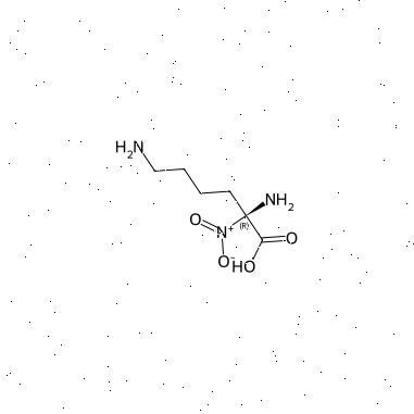 NCCCC[C@](N)(C(=O)O)[N+](=O)[O-]